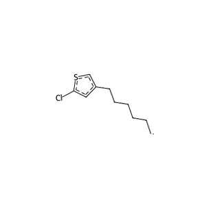 [CH2]CCCCCc1csc(Cl)c1